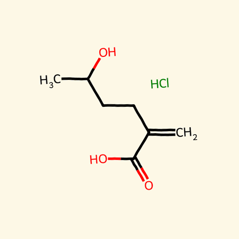 C=C(CCC(C)O)C(=O)O.Cl